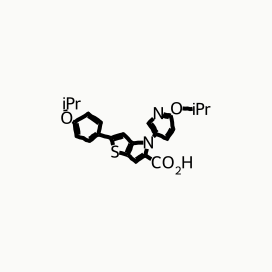 CC(C)Oc1ccc(-c2cc3c(cc(C(=O)O)n3-c3ccc(OC(C)C)nc3)s2)cc1